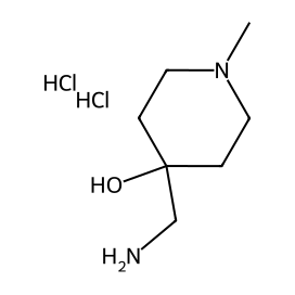 CN1CCC(O)(CN)CC1.Cl.Cl